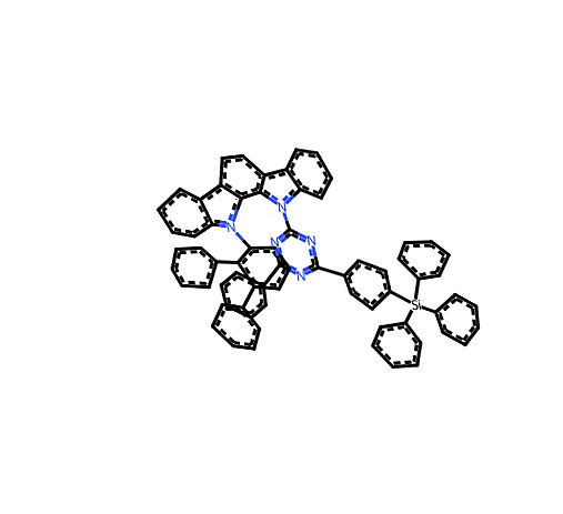 c1ccc(-c2nc(-c3ccc([Si](c4ccccc4)(c4ccccc4)c4ccccc4)cc3)nc(-n3c4ccccc4c4ccc5c6ccccc6n(-c6cccc(-c7ccccc7)c6-c6ccccc6)c5c43)n2)cc1